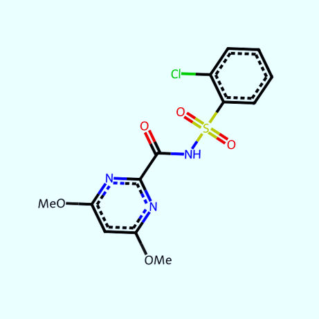 COc1cc(OC)nc(C(=O)NS(=O)(=O)c2ccccc2Cl)n1